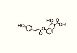 O=C(C=Cc1ccc(O)cc1)Oc1cccc2cc(C(=O)O)c(O)cc12